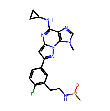 Cn1cnc2c(NC3CC3)nc3cc(-c4ccc(F)c(CCN[S+](C)[O-])c4)nn3c21